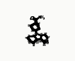 NC(=O)c1ccc(N2C3=CC=CCC3C3C=NC=CC32)cc1